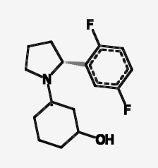 OC1CCC[C](N2CCC[C@@H]2c2cc(F)ccc2F)C1